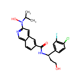 CC(C)N(O)c1cc2cc(C(=O)N[C@H](CCO)c3ccc(Cl)c(F)c3)ccc2cn1